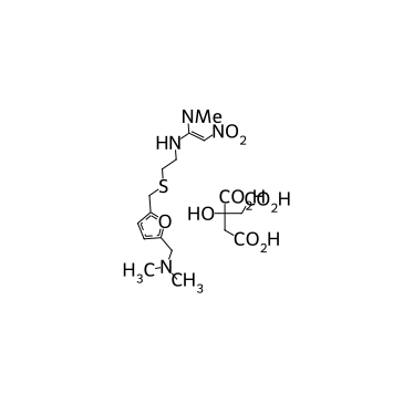 CNC(=C[N+](=O)[O-])NCCSCc1ccc(CN(C)C)o1.O=C(O)CC(O)(CC(=O)O)C(=O)O